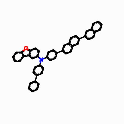 c1ccc(-c2ccc(N(c3ccc(-c4ccc5cc(-c6ccc7ccccc7c6)ccc5c4)cc3)c3ccc4oc5ccccc5c4c3)cc2)cc1